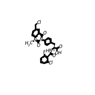 Cn1c(=O)n(-c2ccc(C[C@H](NC(=O)c3c(F)cccc3Cl)C(=O)O)cc2)c(=O)c2cc(CCl)ccc21